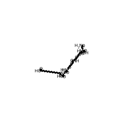 NC(=O)CC[C@H](NC(=O)COCCOCCNC(=O)COCCOCCNC(=O)CC[C@H](NC(=O)CCCCCCCCCCCCCCC(=O)O)C(=O)O)C(=O)O